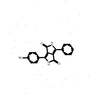 N#Cc1ccc(C2=C3C(=O)NC(c4ccccc4)=C3C(=O)N2)cc1